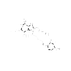 CCOCc1nc2c([NH])nc(C)c(C)c2n1CCCCSc1ccc(F)cc1F